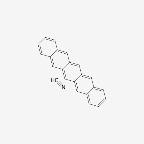 C#N.c1ccc2cc3cc4cc5ccccc5cc4cc3cc2c1